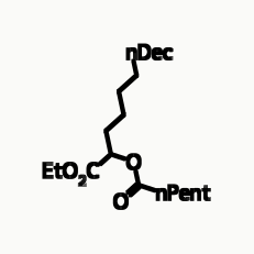 CCCCCCCCCCCCCCC(OC(=O)CCCCC)C(=O)OCC